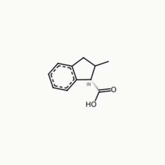 CC1Cc2ccccc2[C@H]1C(=O)O